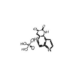 O=C1C=c2ccc3c(c2NC1=O)C=CN=3.O=P(O)(O)O